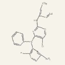 CN/C=C(\C=N)Nc1ncc(Cl)c(N(c2ccccc2)c2cc(N)ccc2F)n1